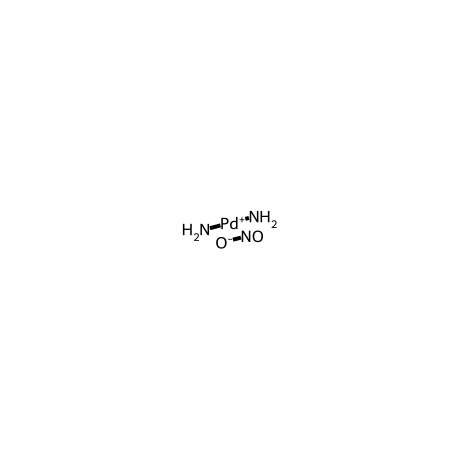 O=N[O-].[NH2][Pd+][NH2]